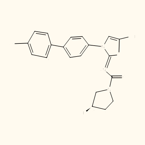 Cc1cn(-c2ccc(-c3ccc(F)cc3)cc2)c(=NC(=O)N2CC[C@@H](F)C2)s1